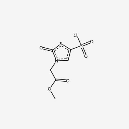 COC(=O)Cn1cc(S(=O)(=O)Cl)sc1=O